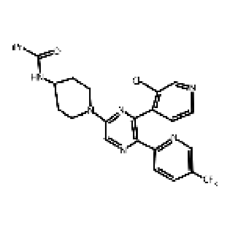 CC(C)C(=O)NC1CCN(c2cnc(-c3ccc(C(F)(F)F)cn3)c(-c3ccncc3Cl)n2)CC1